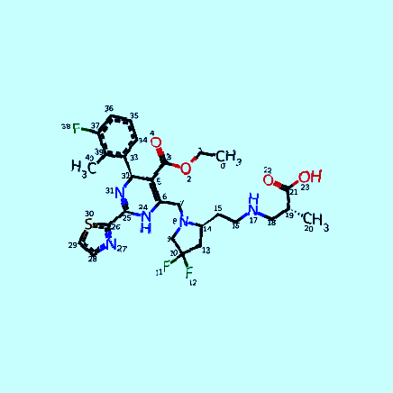 CCOC(=O)C1=C(CN2CC(F)(F)C[C@@H]2CCNC[C@@H](C)C(=O)O)NC(c2nccs2)=N[C@H]1c1cccc(F)c1C